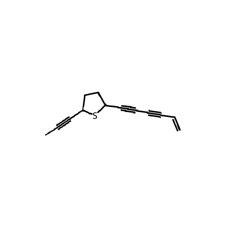 C=CC#CC#CC1CCC(C#CC)S1